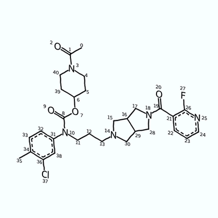 CC(=O)N1CCC(OC(=O)N(CCCN2CC3CN(C(=O)c4cccnc4F)CC3C2)c2ccc(C)c(Cl)c2)CC1